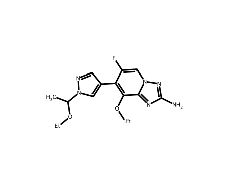 CCOC(C)n1cc(-c2c(F)cn3nc(N)nc3c2OC(C)C)cn1